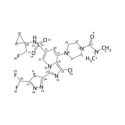 CN(C)C(=O)N1CCN(c2cc(S(=O)(=O)NC3(CF)CC3)cn3c(-c4nnc(C(F)F)s4)nc(Cl)c23)CC1